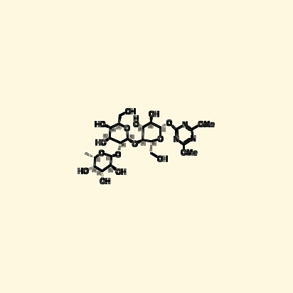 COc1nc(OC)nc(O[C@@H]2O[C@H](CO)[C@@H](O[C@@H]3O[C@H](CO)[C@H](O)[C@H](O)[C@H]3O[C@@H]3O[C@@H](C)[C@@H](O)[C@@H](O)[C@@H]3O)[C@H](O)[C@H]2O)n1